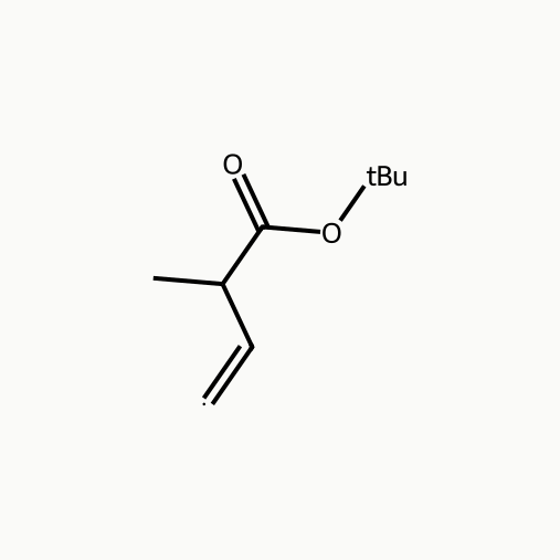 [CH]=CC(C)C(=O)OC(C)(C)C